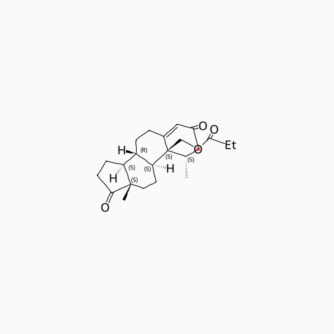 CCC(=O)OC[C@@]12C(=CC(=O)C[C@@H]1C)CC[C@@H]1[C@@H]2CC[C@]2(C)C(=O)CC[C@@H]12